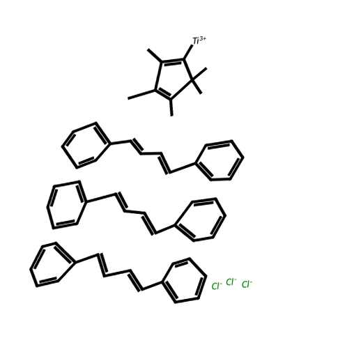 C(C=Cc1ccccc1)=Cc1ccccc1.C(C=Cc1ccccc1)=Cc1ccccc1.C(C=Cc1ccccc1)=Cc1ccccc1.CC1=C(C)C(C)(C)[C]([Ti+3])=C1C.[Cl-].[Cl-].[Cl-]